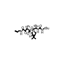 C=CCNC(=O)C(=O)[C@@H](CCC)NC(=O)[C@@H]1[C@@H]2C(CN1C(=O)[C@@H](NC(=O)NC(C)(C)C)C(C)(C)C)C2(C)C